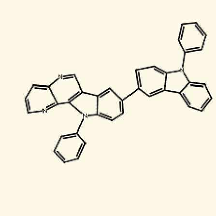 c1ccc(-n2c3ccccc3c3cc(-c4ccc5c(c4)c4cnc6cccnc6c4n5-c4ccccc4)ccc32)cc1